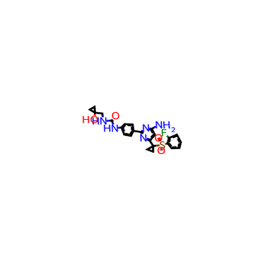 Nc1cc(C2(S(=O)(=O)c3ccccc3F)CC2)nc(-c2ccc(NC(=O)NCC3(O)CC3)cc2)n1